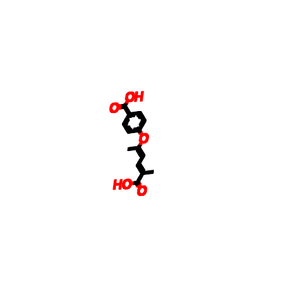 C/C(=C\C=C(/C)C(=O)O)Oc1ccc(C(=O)O)cc1